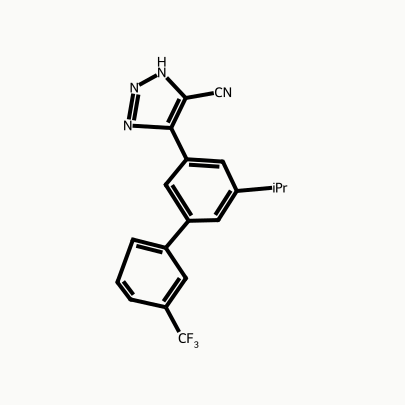 CC(C)c1cc(-c2cccc(C(F)(F)F)c2)cc(-c2nn[nH]c2C#N)c1